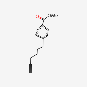 C#CCCCCc1ccc(C(=O)OC)cc1